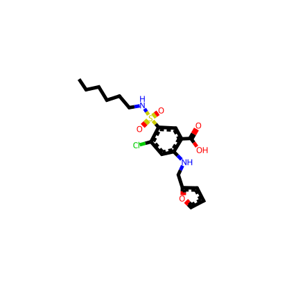 CCCCCCNS(=O)(=O)c1cc(C(=O)O)c(NCc2ccco2)cc1Cl